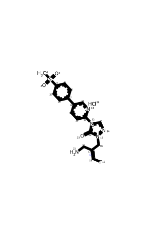 CS(=O)(=O)c1ccc(-c2ccc(-n3cnn(C/C(=C\F)CN)c3=O)nc2)cc1.Cl